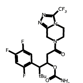 CC(C)(C)C(c1cc(F)c(F)cc1F)C(CC(=O)N1CCn2c(nnc2C(F)(F)F)C1)OC(N)=O